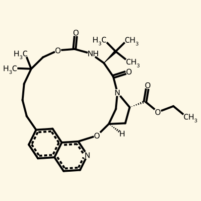 CCOC(=O)[C@@H]1C[C@@H]2CN1C(=O)[C@H](C(C)(C)C)NC(=O)OCC(C)(C)CCCc1ccc3ccnc(c3c1)O2